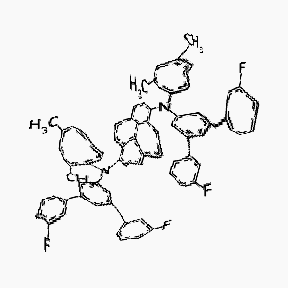 Cc1ccc(N(c2cc(-c3cccc(F)c3)cc(-c3cccc(F)c3)c2)c2ccc3ccc4c(N(c5cc(-c6cccc(F)c6)cc(-c6cccc(F)c6)c5)c5ccc(C)cc5C)ccc5ccc2c3c54)c(C)c1